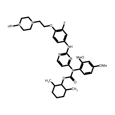 CCCN1CCN(CCOc2ccc(Nc3nccc(N(C(=O)OC4C(C)CCCC4C)c4ccc(OC)cc4OC)n3)cc2F)CC1